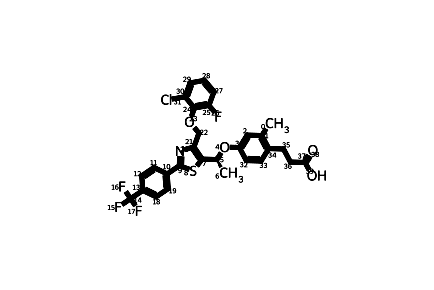 Cc1cc(O[C@@H](C)c2sc(-c3ccc(C(F)(F)F)cc3)nc2COc2c(F)cccc2Cl)ccc1CCC(=O)O